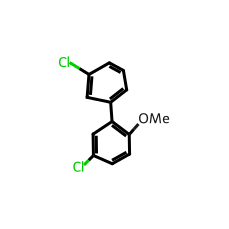 COc1ccc(Cl)cc1-c1cccc(Cl)c1